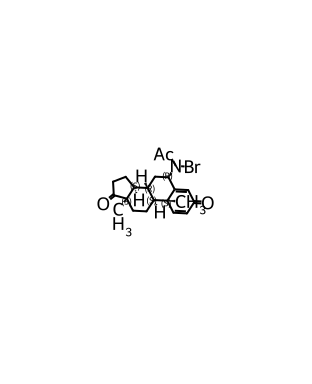 CC(=O)N(Br)[C@@H]1C[C@@H]2[C@H](CC[C@]3(C)C(=O)CC[C@@H]23)[C@@]2(C)C=CC(=O)C=C12